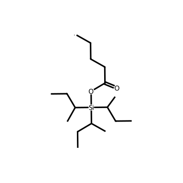 [CH2]CCCC(=O)O[Si](C(C)CC)(C(C)CC)C(C)CC